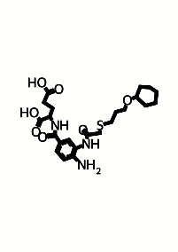 Nc1ccc(C(=O)NC(CCC(=O)O)C(=O)O)cc1NC(=O)CSCCCOC1CCCCC1